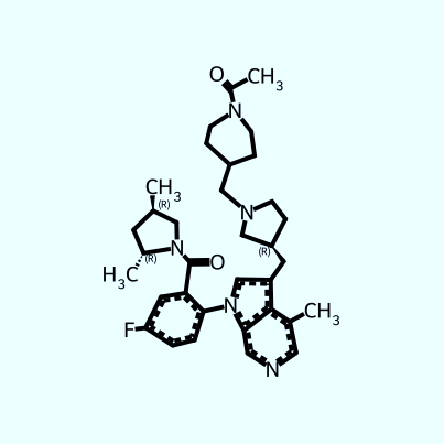 CC(=O)N1CCC(CN2CC[C@@H](Cc3cn(-c4ccc(F)cc4C(=O)N4C[C@H](C)C[C@H]4C)c4cncc(C)c34)C2)CC1